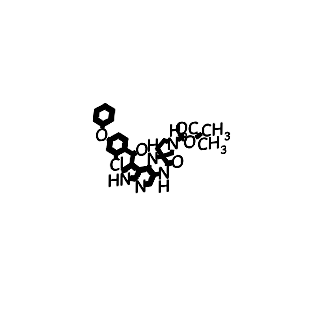 CC(C)(C)OC(=O)N1CCC2(C1)Nc1c(cnc3[nH]cc(C(=O)c4ccc(Oc5ccccc5)cc4Cl)c13)NC2=O